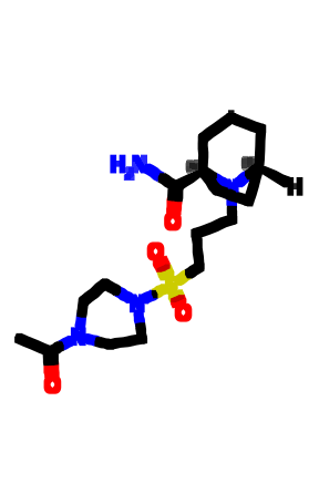 CC(=O)N1CCN(S(=O)(=O)CCCN2[C@@H]3C[CH]C[C@@]2(C(N)=O)CC3)CC1